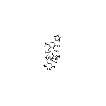 Cc1noc(-c2cc(N(C)C)c3c(c2O)C(=O)C2=C(O)[C@]4(O)C(=O)C(C(N)=O)=C(O)C[C@@H]4C[C@@H]2C3)n1